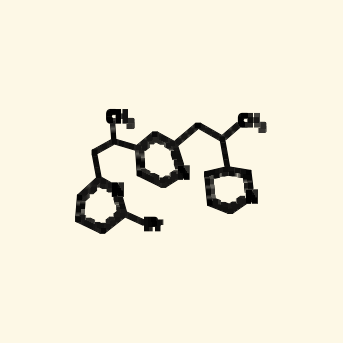 CC(C)c1cccc(CC(C)c2ccnc(CC(C)c3cccnc3)c2)n1